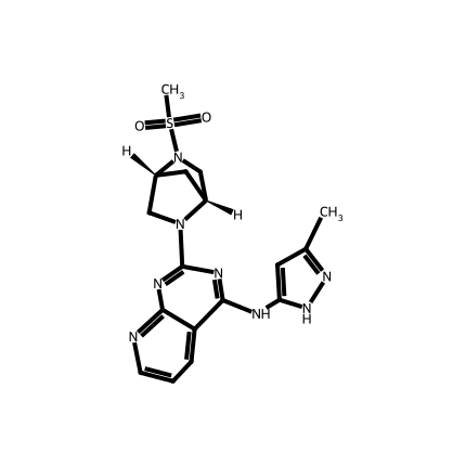 Cc1cc(Nc2nc(N3C[C@H]4C[C@@H]3CN4S(C)(=O)=O)nc3ncccc23)[nH]n1